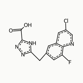 O=C(O)c1nnc(Cc2cc(F)c3ncc(Cl)cc3c2)[nH]1